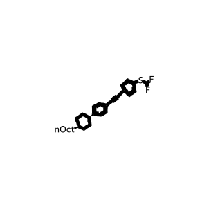 CCCCCCCC[C@H]1CC[C@H](c2ccc(C#Cc3ccc(SC(F)F)cc3)cc2)CC1